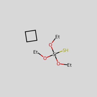 C1CCC1.CCO[Si](S)(OCC)OCC